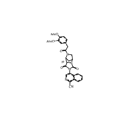 COc1ccc(CC(=O)N2CC3CC2[C@@H]2C(=O)N(c4cnc(C#N)c5ccccc45)C(=O)N32)cc1OC